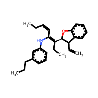 C=CC1c2ccccc2O[C@@H]1/C(CC)=C(\C=C/CC)Nc1cccc(CCC)c1